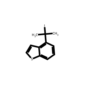 CC(C)(I)c1cccc2sccc12